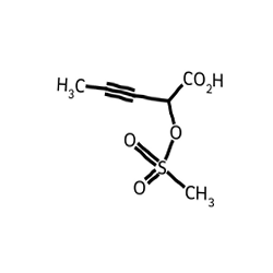 CC#CC(OS(C)(=O)=O)C(=O)O